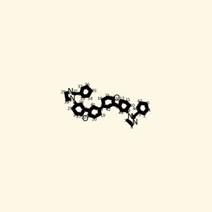 c1ccc(-c2nccn2-c2ccc3oc4ccc(-c5ccc6oc7ccc(-n8ccnc8-c8ccccc8)cc7c6c5)cc4c3c2)cc1